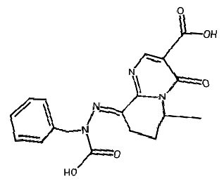 CC1CCC(=NN(C(=O)O)c2ccccc2)c2ncc(C(=O)O)c(=O)n21